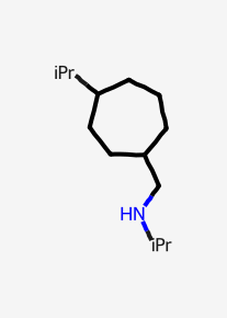 CC(C)NCC1CCCC(C(C)C)CC1